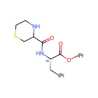 CC(C)C[C@H](NC(=O)C1CSCCN1)C(=O)OC(C)C